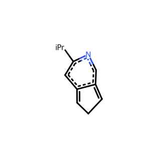 CC(C)c1cc2c(cn1)=CCC=2